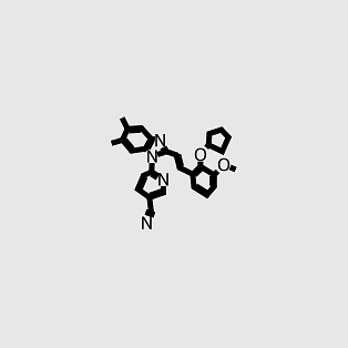 COc1cccc(C=Cc2nc3cc(C)c(C)cc3n2-c2ccc(C#N)cn2)c1OC1CCCC1